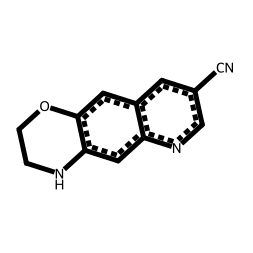 N#Cc1cnc2cc3c(cc2c1)OCCN3